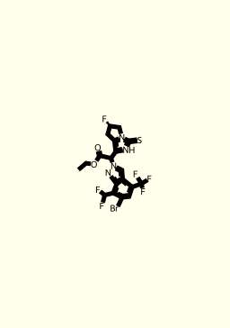 CCOC(=O)C(c1[nH]c(=S)n2c1C[C@@H](F)C2)n1cc2c(C(F)(F)F)cc(Br)c(C(F)F)c2n1